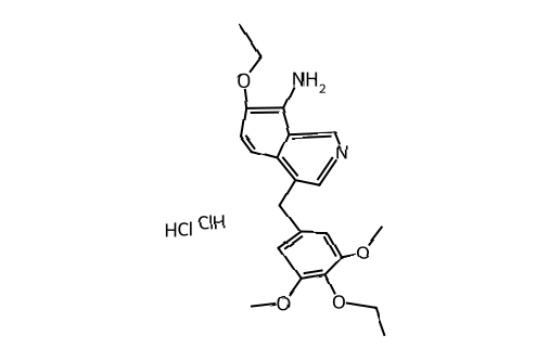 CCOc1ccc2c(Cc3cc(OC)c(OCC)c(OC)c3)cncc2c1N.Cl.Cl